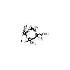 C=CC1=C(C)c2cc3nc(cc4[nH]c(cc5[nH]c(cc1n2)c(C)c5C=C)c(C)c4CCC)C(CCC=O)=C3C